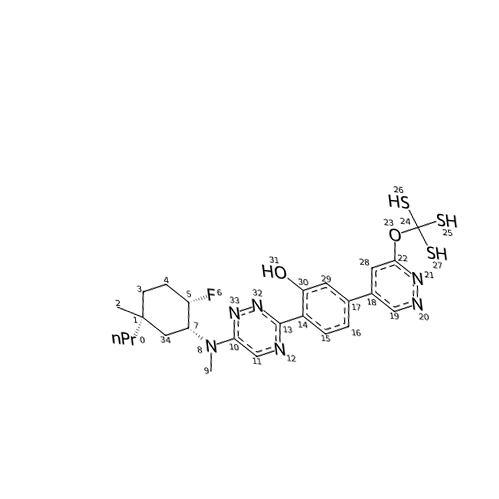 CCC[C@]1(C)CC[C@H](F)[C@H](N(C)c2cnc(-c3ccc(-c4cnnc(OC(S)(S)S)c4)cc3O)nn2)C1